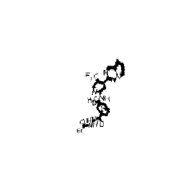 CCC(=O)NNC(=O)C12CC(C)CC(C1)N2C(=O)Nc1cc(-c2ncc3cccn3n2)c(C(F)(F)F)cn1